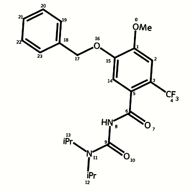 COc1cc(C(F)(F)F)c(C(=O)NC(=O)N(C(C)C)C(C)C)cc1OCc1ccccc1